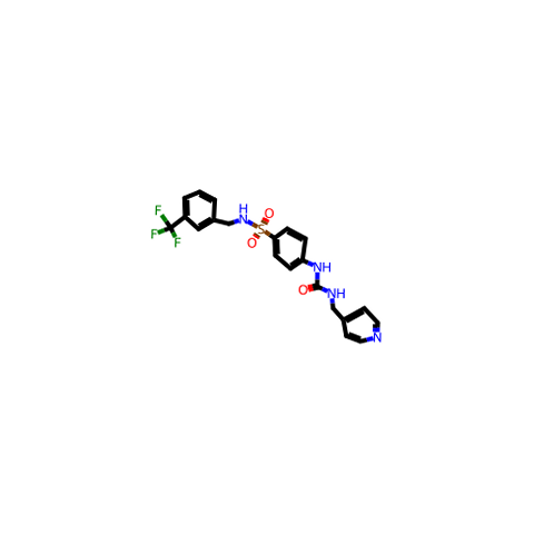 O=C(NCc1ccncc1)Nc1ccc(S(=O)(=O)NCc2cccc(C(F)(F)F)c2)cc1